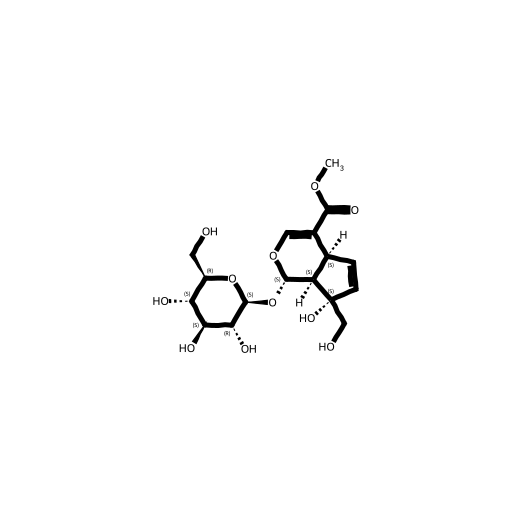 COC(=O)C1=CO[C@@H](O[C@@H]2O[C@H](CO)[C@@H](O)[C@H](O)[C@H]2O)[C@H]2[C@@H]1C=C[C@@]2(O)CO